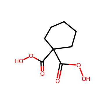 O=C(OO)C1(C(=O)OO)CCCCC1